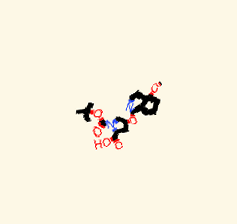 COc1cccc2c(OC3CC(C(=O)O)N(C(=O)OC(C)(C)C)C3)nccc12